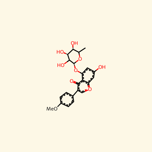 COc1ccc(-c2coc3cc(O)cc(O[C@@H]4OC(C)[C@H](O)[C@H](O)C4O)c3c2=O)cc1